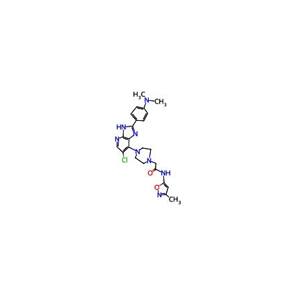 Cc1cc(NC(=O)CN2CCN(c3c(Cl)cnc4[nH]c(-c5ccc(N(C)C)cc5)nc34)CC2)on1